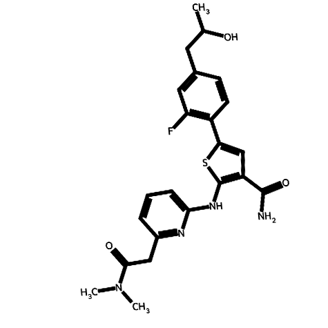 CC(O)Cc1ccc(-c2cc(C(N)=O)c(Nc3cccc(CC(=O)N(C)C)n3)s2)c(F)c1